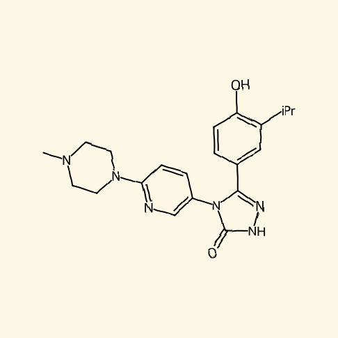 CC(C)c1cc(-c2n[nH]c(=O)n2-c2ccc(N3CCN(C)CC3)nc2)ccc1O